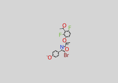 COc1ccc(-c2nc([C@H](C)Oc3ccc(F)c(C(C)=O)c3F)oc2Br)cc1